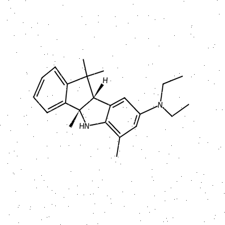 CCN(CC)c1cc(C)c2c(c1)[C@H]1C(C)(C)c3ccccc3[C@@]1(C)N2